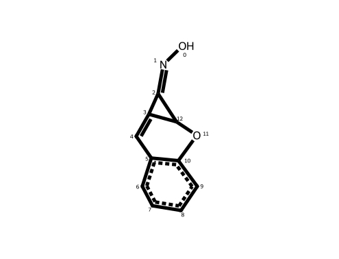 ON=C1C2=Cc3ccccc3OC21